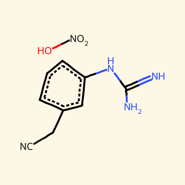 N#CCc1cccc(NC(=N)N)c1.O=[N+]([O-])O